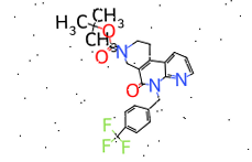 CC(C)(C)OC(=O)N1CCc2c(c(=O)n(Cc3ccc(C(F)(F)F)cc3)c3ncccc23)C1